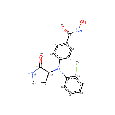 O=C(NO)c1ccc(N(c2ccccc2F)C2CCNC2=O)cc1